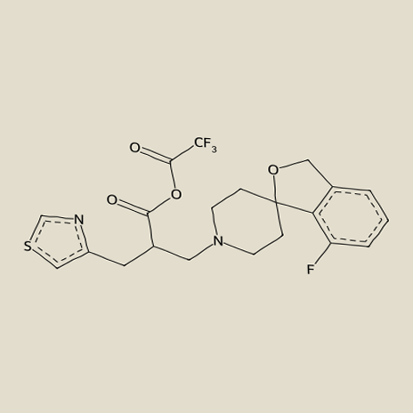 O=C(OC(=O)C(F)(F)F)C(Cc1cscn1)CN1CCC2(CC1)OCc1cccc(F)c12